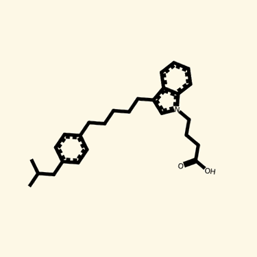 CC(C)Cc1ccc(CCCCCc2cn(CCCC(=O)O)c3ccccc23)cc1